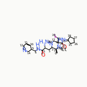 C=C1C(CCC(=O)NCC2C=CC=NC2)N(N)CC(CI)(C(=O)NC2CCCC2)N1CC